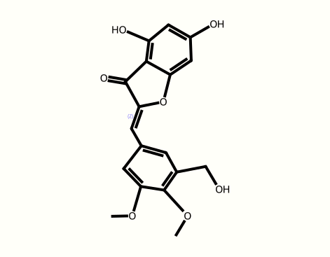 COc1cc(/C=C2\Oc3cc(O)cc(O)c3C2=O)cc(CO)c1OC